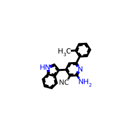 Cc1ccccc1-c1cc(-c2c[nH]c3ccccc23)c(C#N)c(N)n1